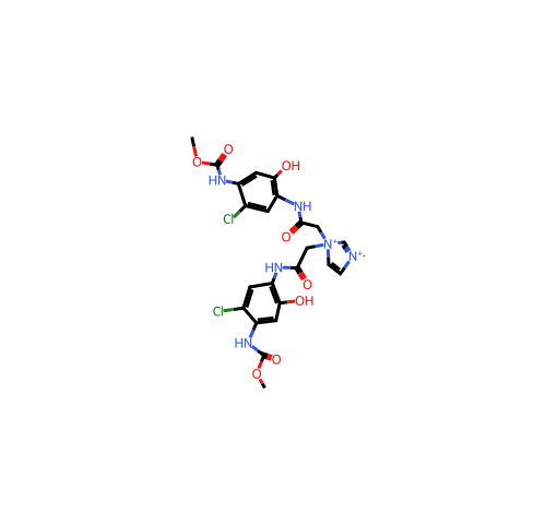 COC(=O)Nc1cc(O)c(NC(=O)C[N+]2(CC(=O)Nc3cc(Cl)c(NC(=O)OC)cc3O)C=C[N+]=C2)cc1Cl